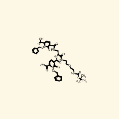 CC(C)(C)OC(=O)NCCOCCNC(=O)C(CNC(=O)c1ccc(C(=O)O)n(OCc2ccccc2)c1=O)NC(=O)c1ccc(C(=O)O)n(OCc2ccccc2)c1=O